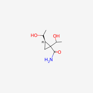 CC(O)[C@@H]1CC1(C(N)=O)C(C)O